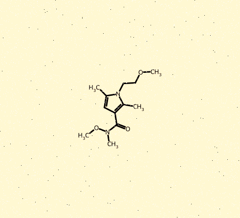 COCCn1c(C)cc(C(=O)N(C)OC)c1C